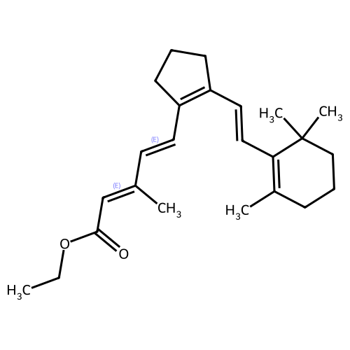 CCOC(=O)/C=C(C)/C=C/C1=C(C=CC2=C(C)CCCC2(C)C)CCC1